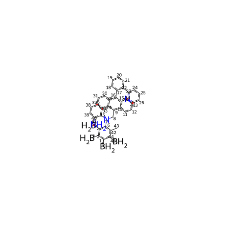 Bc1c(B)c(B)c(N(Cc2c3ccccc3c(-c3ccccc3-c3ccccn3)c3ccccc23)c2ccccc2N)c(C)c1B